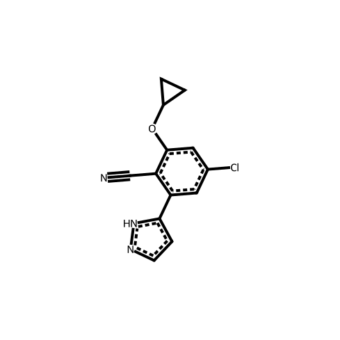 N#Cc1c(OC2CC2)cc(Cl)cc1-c1ccn[nH]1